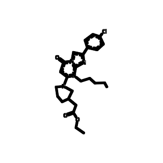 CCCCCn1c(N2CCCC(CC(=O)OCC)C2)cc(=O)n2cc(-c3ccc(Cl)cc3)nc12